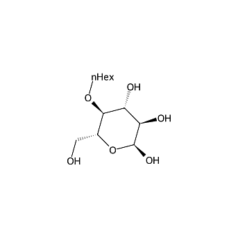 CCCCCCO[C@H]1[C@H](O)[C@@H](O)[C@@H](O)O[C@@H]1CO